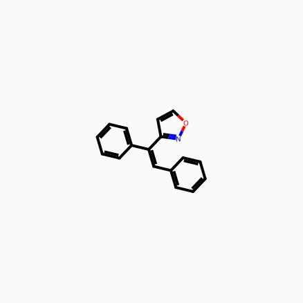 C(=C(c1ccccc1)c1ccon1)c1ccccc1